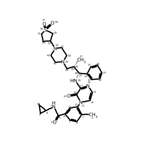 Cc1ccc(C(=O)NC2CC2)cc1-n1ccnc(N[C@@H](c2ccccc2)[C@@H](C)CN2CCN(C3CCS(=O)(=O)C3)CC2)c1=O